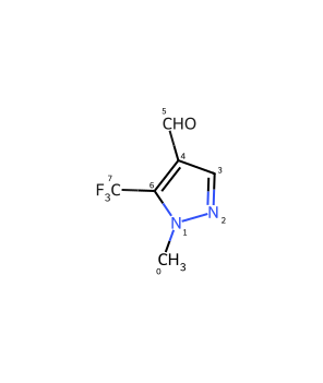 Cn1ncc(C=O)c1C(F)(F)F